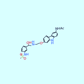 CC(=O)Nc1ccc2[nH]c3cc(OCCNCC(O)c4cccc(NS(C)(=O)=O)c4)ccc3c2c1